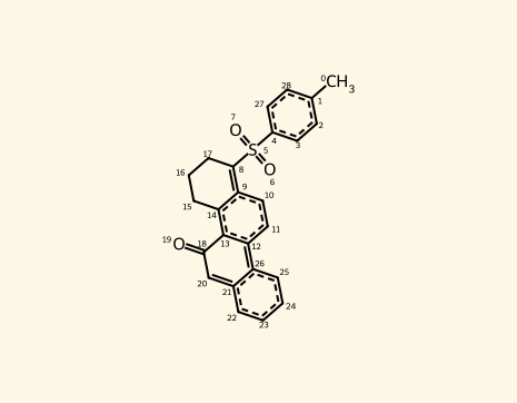 Cc1ccc(S(=O)(=O)C2=c3ccc4c(c3CCC2)C(=O)C=c2ccccc2=4)cc1